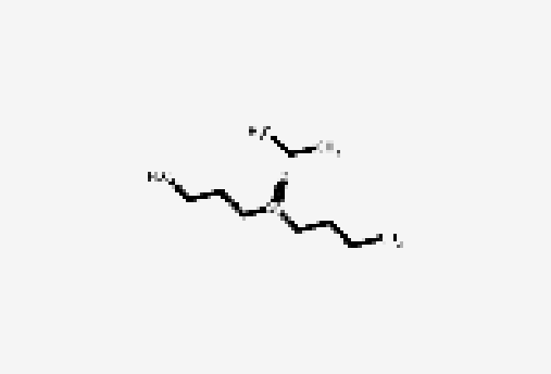 CCC.CCC[CH2][Sn](=[O])[CH2]CCC